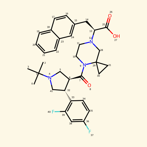 CC(C)(C)N1C[C@@H](C(=O)N2CCN([C@@H](Cc3ccc4ccccc4c3)C(=O)O)CC23CC3)[C@H](c2ccc(F)cc2F)C1